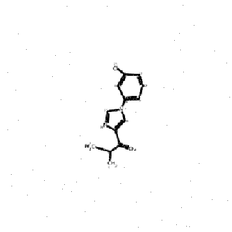 CC(C)C(=O)c1cn(-c2cccc(Cl)c2)cn1